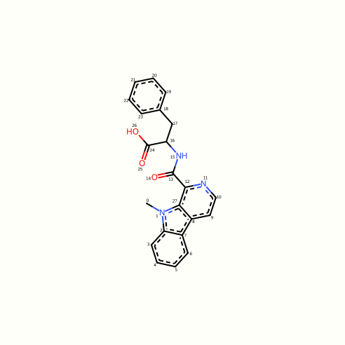 Cn1c2ccccc2c2ccnc(C(=O)NC(Cc3ccccc3)C(=O)O)c21